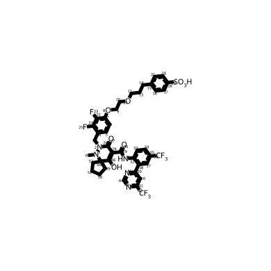 CN1N(Cc2ccc(OCCOCCCc3ccc(S(=O)(=O)O)cc3)c(F)c2F)C(=O)C(C(=O)Nc2ccc(C(F)(F)F)cc2-c2cc(C(F)(F)F)ncn2)=C(O)C12CCCC2